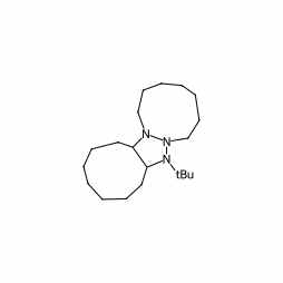 CC(C)(C)N1C2CCCCCCCC2N2CCCCCCCN21